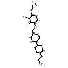 CCCC1CCC(C2CCC(COC3CCC(OCC)C(F)C3F)CC2)CC1